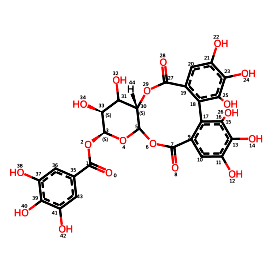 O=C(O[C@@H]1OC2OC(=O)c3cc(O)c(O)c(O)c3-c3c(cc(O)c(O)c3O)C(=O)O[C@H]2C(O)[C@@H]1O)c1cc(O)c(O)c(O)c1